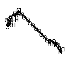 CC1(C)C(NC(=O)c2ccc(OCCOCCOCCOCCOCCOCCOCCOCCOCCOc3cc(Cl)cc(NC(=O)NCc4ccc5c(c4)CN(C4CCC(=O)NC4=O)C5=O)c3)cc2)C(C)(C)C1Oc1ccc(C#N)c(Cl)c1